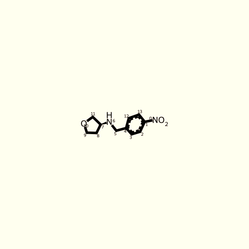 O=[N+]([O-])c1ccc(CN[C@H]2CCOC2)cc1